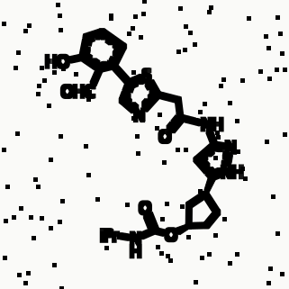 CC(C)NC(=O)O[C@@H]1CC[C@H](c2cc(NC(=O)Cc3ncc(-c4cccc(O)c4C=O)s3)n[nH]2)C1